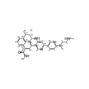 CNCCN(C)c1ccc(-c2cc(NC[C@@H](C)C(C)c3cccc4c(C(=O)NC)ccnc34)ncn2)cn1